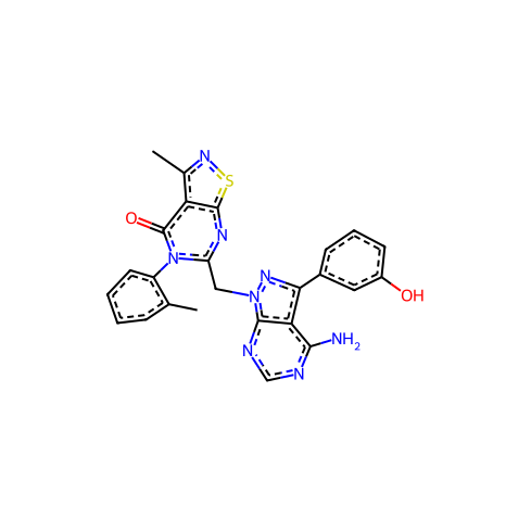 Cc1ccccc1-n1c(Cn2nc(-c3cccc(O)c3)c3c(N)ncnc32)nc2snc(C)c2c1=O